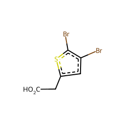 O=C(O)Cc1cc(Br)c(Br)s1